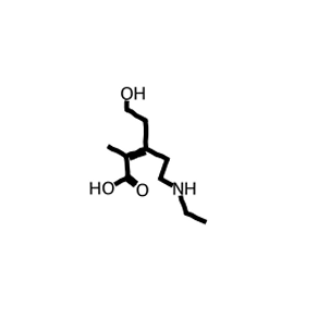 CCNCCC(CCO)=C(C)C(=O)O